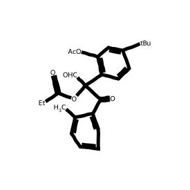 CCC(=O)OC(C=O)(C(=O)c1ccccc1C)c1ccc(C(C)(C)C)cc1OC(C)=O